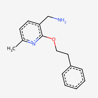 Cc1ccc(CN)c(OCCc2ccccc2)n1